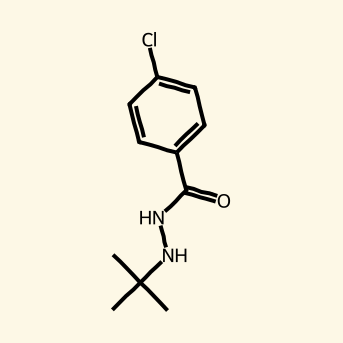 CC(C)(C)NNC(=O)c1ccc(Cl)cc1